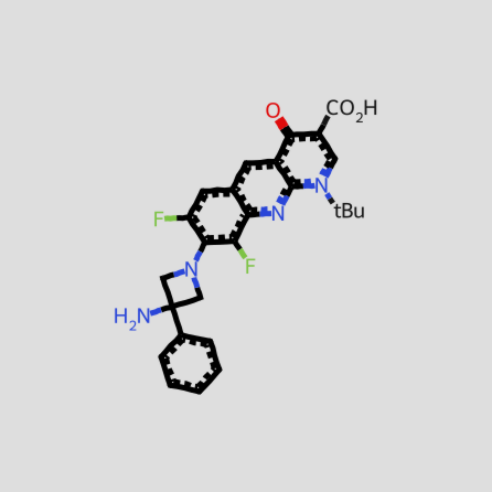 CC(C)(C)n1cc(C(=O)O)c(=O)c2cc3cc(F)c(N4CC(N)(c5ccccc5)C4)c(F)c3nc21